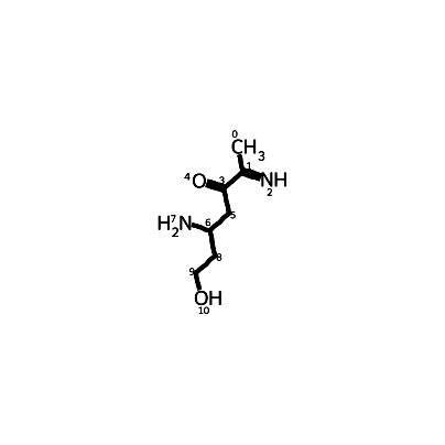 CC(=N)C(=O)CC(N)CCO